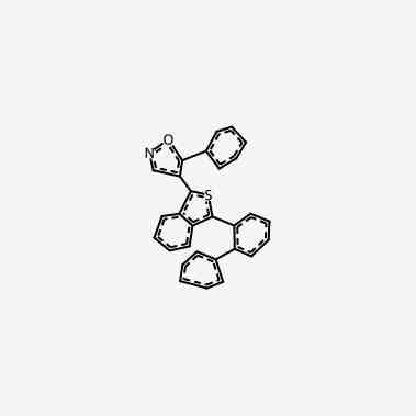 c1ccc(-c2ccccc2-c2sc(-c3cnoc3-c3ccccc3)c3ccccc23)cc1